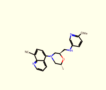 COc1ccc(NC[C@@H]2CN(c3ccc(C#N)c4ncccc34)C[C@@H](C)O2)cn1